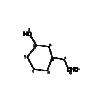 O=[C]CC1CCCC(O)C1